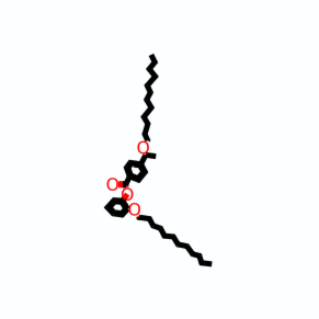 CCCCCCCCCCCCOc1ccccc1OC(=O)c1ccc(C(C)OCCCCCCCCCCCC)cc1